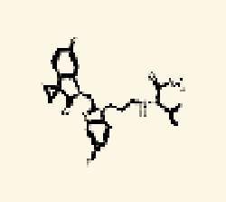 CC(C)[C@H](NCCCn1c(CN2C(=O)C3(CC3)c3ccc(F)cc32)nc2cc(F)ccc21)C(N)=O